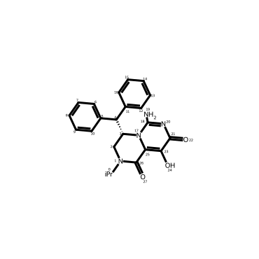 CC(C)N1C[C@H](C(c2ccccc2)c2ccccc2)n2c(N)nc(=O)c(O)c2C1=O